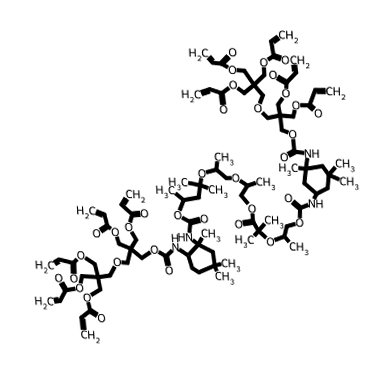 C=CC(=O)OCC(COCC(COC(=O)C=C)(COC(=O)C=C)COC(=O)NC1CCC(C)(C)CC1(C)NC(=O)OC(C)CC(C)(C)OC(C)COC(C)COC(=O)C(C)(C)OC(C)COC(=O)NC1CC(C)(C)CC(C)(NC(=O)OCC(COCC(COC(=O)C=C)(COC(=O)C=C)COC(=O)C=C)(COC(=O)C=C)COC(=O)C=C)C1)(COC(=O)C=C)COC(=O)C=C